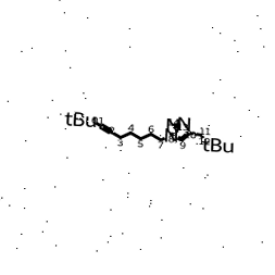 CC(C)(C)C#CCCCCCn1cc(CC(C)(C)C)nn1